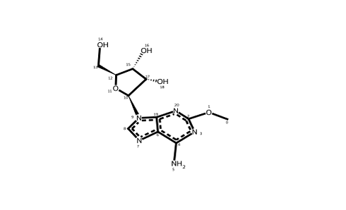 COc1nc(N)c2ncn([C@H]3O[C@@H](CO)[C@H](O)[C@@H]3O)c2n1